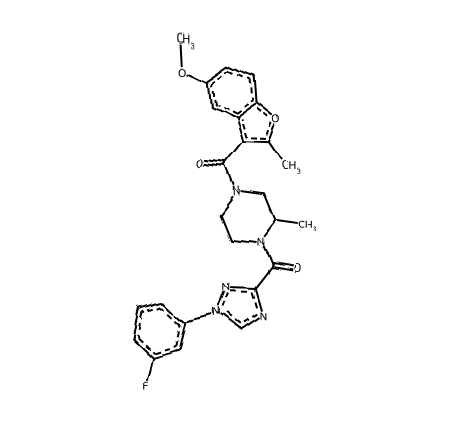 COc1ccc2oc(C)c(C(=O)N3CCN(C(=O)c4ncn(-c5cccc(F)c5)n4)C(C)C3)c2c1